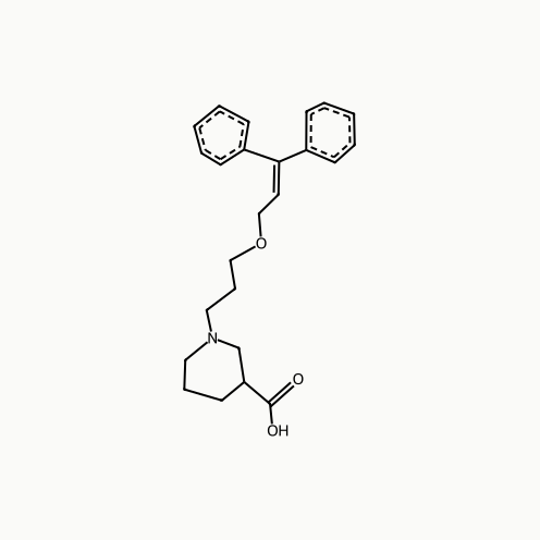 O=C(O)C1CCCN(CCCOCC=C(c2ccccc2)c2ccccc2)C1